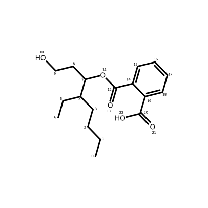 CCCCC(CC)C(CCO)OC(=O)c1ccccc1C(=O)O